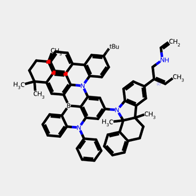 C=CNC/C(=C\C)c1ccc2c(c1)C1(C)CCc3ccccc3C1(C)N2c1cc2c3c(c1)N(c1ccc(C(C)(C)C)cc1C1=CC=C=C=C1)c1cc4c(cc1B3c1ccccc1N2c1ccccc1)C(C)(C)CCC4C